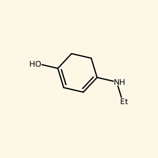 CCNC1=CC=C(O)CC1